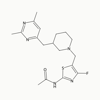 CC(=O)Nc1nc(F)c(CN2CCCC(Cc3cc(C)nc(C)n3)C2)s1